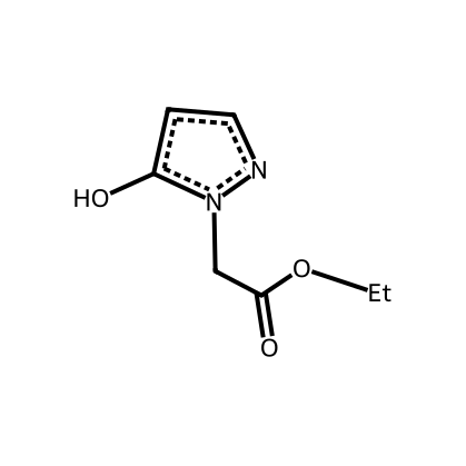 CCOC(=O)Cn1nccc1O